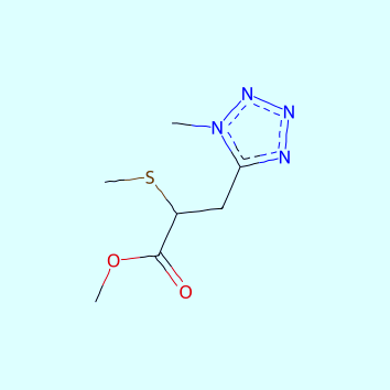 COC(=O)C(Cc1nnnn1C)SC